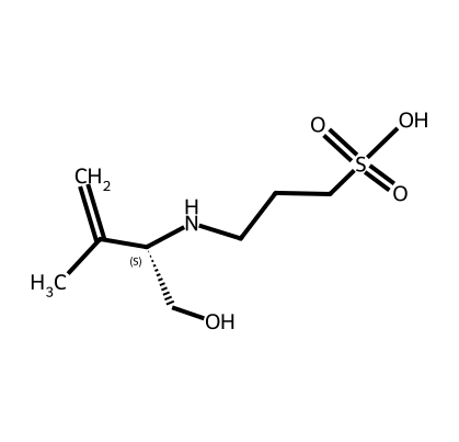 C=C(C)[C@@H](CO)NCCCS(=O)(=O)O